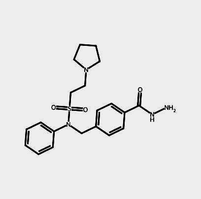 NNC(=O)c1ccc(CN(c2ccccc2)S(=O)(=O)CCN2CCCC2)cc1